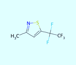 Cc1cc(C(F)(F)C(F)(F)F)sn1